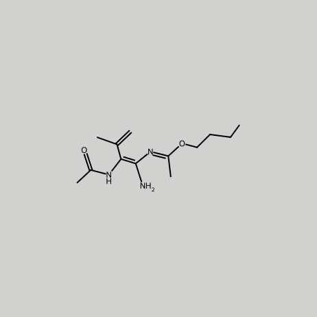 C=C(C)/C(NC(C)=O)=C(N)\N=C(/C)OCCCC